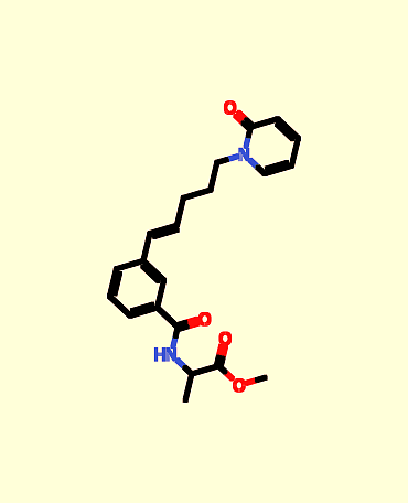 COC(=O)C(C)NC(=O)c1cccc(/C=C/CCCn2ccccc2=O)c1